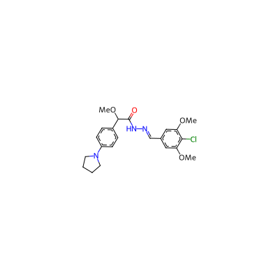 COc1cc(/C=N/NC(=O)C(OC)c2ccc(N3CCCC3)cc2)cc(OC)c1Cl